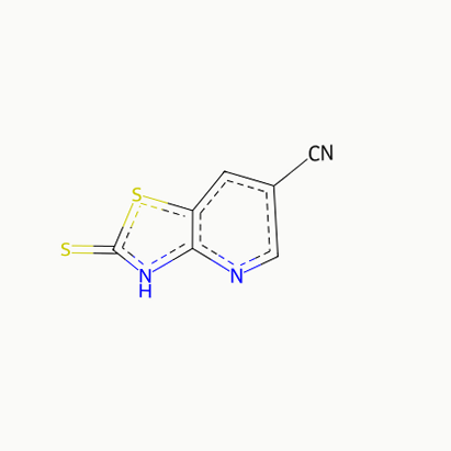 N#Cc1cnc2[nH]c(=S)sc2c1